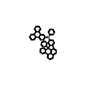 c1ccc(N(c2ccc3c(c2)C2(c4ccccc4)c4ccccc4-c4cccc5ccc-3c2c45)c2ccc3c4ccccc4c4ccccc4c3c2)cc1